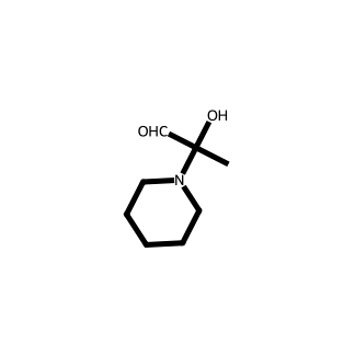 CC(O)(C=O)N1CCCCC1